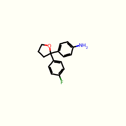 Nc1ccc(C2(c3ccc(F)cc3)CCCO2)cc1